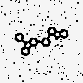 c1ccc(-n2c3ccccc3c3cc(-c4cccc(-c5cccc6c5oc5ccccc56)c4)ccc32)cc1